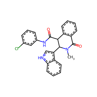 CN1C(=O)c2ccccc2C(C(=O)Nc2cccc(Cl)c2)C1c1c[nH]c2ccccc12